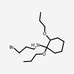 CCCOC1CCCCC1(OCCC)[SiH2]CCCBr